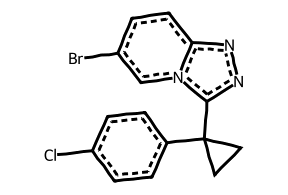 Clc1ccc(C2(c3nnc4ccc(Br)cn34)CC2)cc1